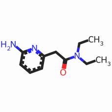 CCN(CC)C(=O)Cc1cccc(N)n1